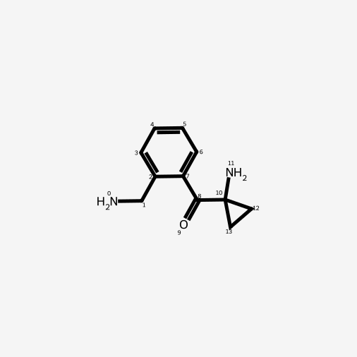 NCc1ccccc1C(=O)C1(N)CC1